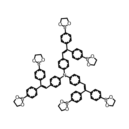 C(=C(c1ccc(B2OCCO2)cc1)c1ccc(B2OCCO2)cc1)c1ccc(N(c2ccc(C=C(c3ccc(B4OCCO4)cc3)c3ccc(B4OCCO4)cc3)cc2)c2ccc(C=C(c3ccc(B4OCCO4)cc3)c3ccc(B4OCCO4)cc3)cc2)cc1